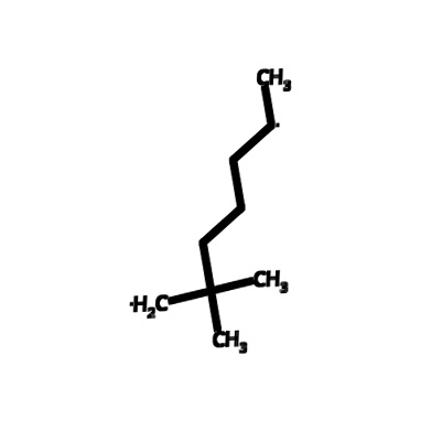 [CH2]C(C)(C)CCC[CH]C